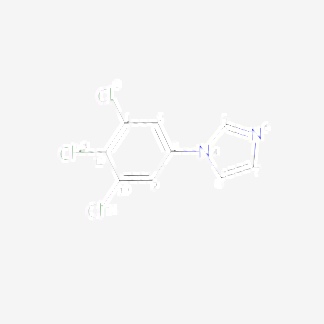 Clc1cc(-n2[c]ncc2)cc(Cl)c1Cl